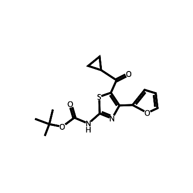 CC(C)(C)OC(=O)Nc1nc(-c2ccco2)c(C(=O)C2CC2)s1